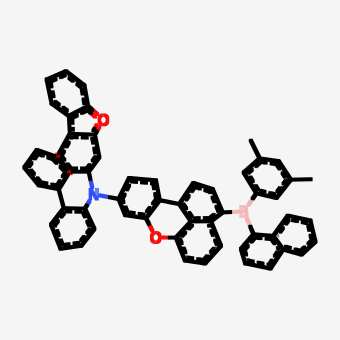 Cc1cc(C)cc(B(c2cccc3ccccc23)c2ccc3c4c(cccc24)Oc2cc(N(c4ccc5c(c4)oc4ccccc45)c4ccccc4-c4ccccc4)ccc2-3)c1